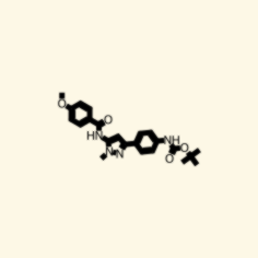 COc1ccc(C(=O)Nc2cc(-c3ccc(NC(=O)OC(C)(C)C)cc3)nn2C)cc1